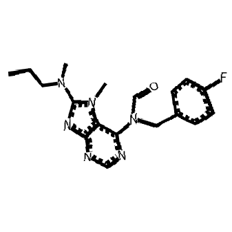 CCCN(C)c1nc2ncnc(N(C=O)Cc3ccc(F)cc3)c2n1C